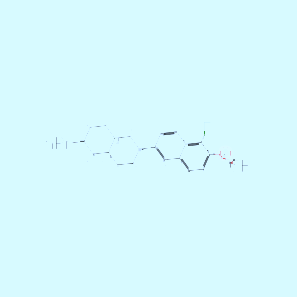 CCCC1CCC2CC(c3ccc4c(F)c(OC(F)(F)F)ccc4c3)CCC2C1